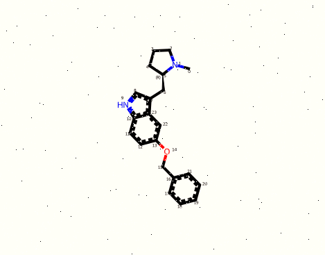 CN1CCC[C@@H]1Cc1c[nH]c2ccc(OCc3ccccc3)cc12